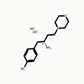 Cl.Cl.N#Cc1ccc(C[C@@H](N)CCN2CCOCC2)cc1